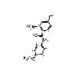 Nc1cc(F)ccc1C(=O)Nc1ccc(OC(F)(F)F)cc1